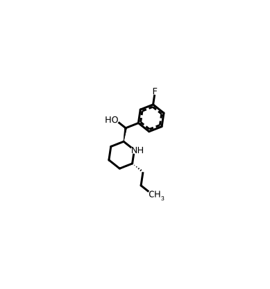 CCC[C@@H]1CCC[C@@H](C(O)c2cccc(F)c2)N1